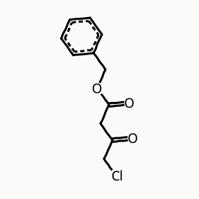 O=C(CCl)CC(=O)OCc1ccccc1